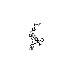 CN1CCN(C(=O)Cn2c(C3CC3)c(C3CCCCC3)c3ccc(C(=O)NC4(C(=O)Nc5ccc(C=CC(=O)O)cc5)CCCC4)cc32)CC1